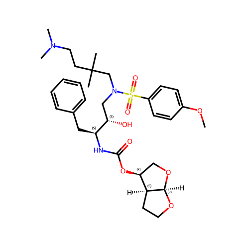 COc1ccc(S(=O)(=O)N(C[C@H](O)[C@H](Cc2ccccc2)NC(=O)O[C@H]2CO[C@H]3OCC[C@H]32)CC(C)(C)CCN(C)C)cc1